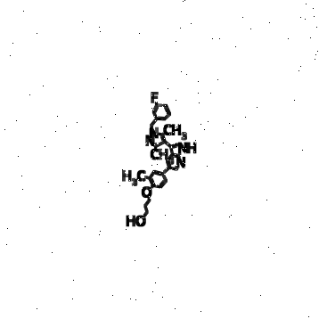 Cc1cc(-c2cnc3[nH]cc(-c4c(C)nn(Cc5cccc(F)c5)c4C)c3c2)ccc1OCCCO